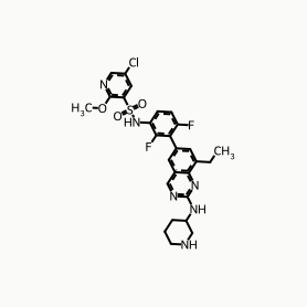 CCc1cc(-c2c(F)ccc(NS(=O)(=O)c3cc(Cl)cnc3OC)c2F)cc2cnc(NC3CCCNC3)nc12